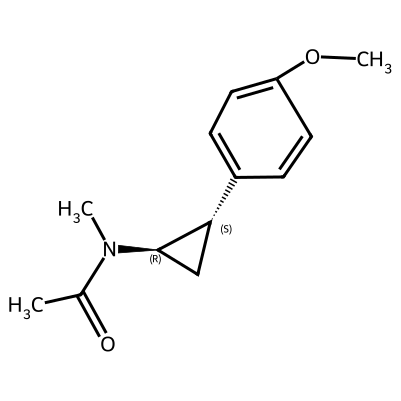 COc1ccc([C@@H]2C[C@H]2N(C)C(C)=O)cc1